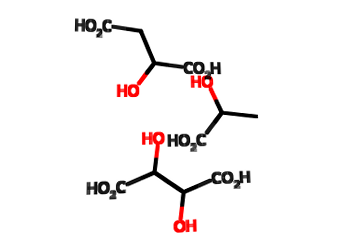 CC(O)C(=O)O.O=C(O)C(O)C(O)C(=O)O.O=C(O)CC(O)C(=O)O